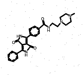 CN1CCN(CCNC(=O)c2ccc(C3=C4C(=O)NC(c5ccccc5)=C4C(=O)N3)cc2)CC1